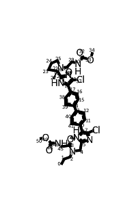 CCCN(Cc1nc(Cl)c(-c2ccc(-c3ccc(-c4[nH]c([C@]5(C)CCCN5C(=O)CNC(=O)OC)nc4Cl)cc3)cc2)[nH]1)C(=O)CNC(=O)OC